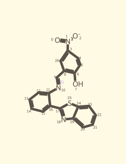 O=[N+]([O-])c1ccc(O)c(/C=N/c2ccccc2-c2nc3ccccc3s2)c1